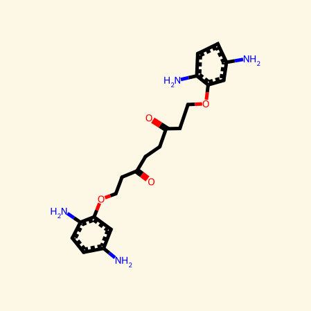 Nc1ccc(N)c(OCCC(=O)CCC(=O)CCOc2cc(N)ccc2N)c1